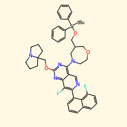 CC(C)(C)[Si](OCC1COCCN(c2nc(OCC34CCCN3CCC4)nc3c(F)c(-c4cccc5cccc(F)c45)ncc23)C1)(c1ccccc1)c1ccccc1